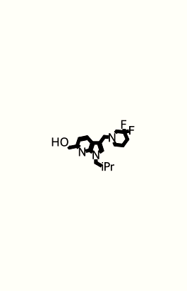 CC(C)Cn1cc(CN2CCCC(F)(F)C2)c2ccc(CO)nc21